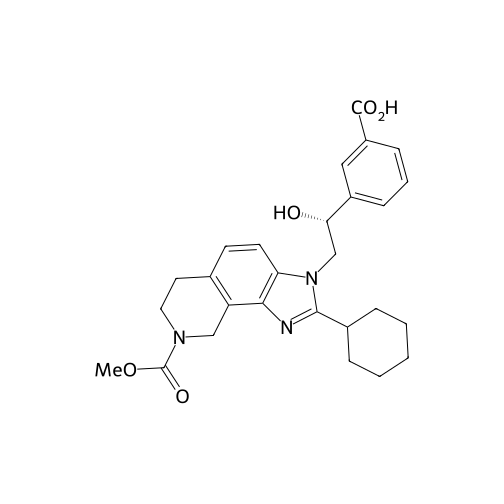 COC(=O)N1CCc2ccc3c(nc(C4CCCCC4)n3C[C@H](O)c3cccc(C(=O)O)c3)c2C1